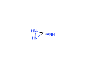 N=C1NN1